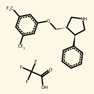 FC(F)(F)c1cc(OC[C@@H]2CNC[C@H]2c2ccccc2)cc(C(F)(F)F)c1.O=C(O)C(F)(F)F